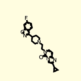 O=c1n(CCN2CCC(c3noc4cc(F)ccc34)CC2)ccc2nc(C3CC3)cn12